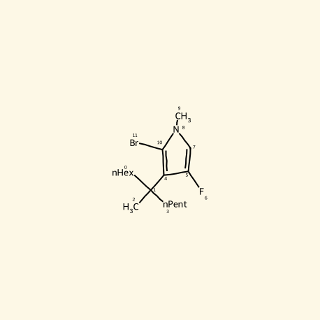 CCCCCCC(C)(CCCCC)c1c(F)cn(C)c1Br